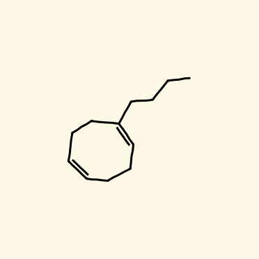 CCCCC1=CCCC=CCC1